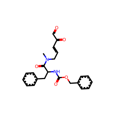 CN(C/C=C/C(=O)C=O)C(=O)C(Cc1ccccc1)NC(=O)OCc1ccccc1